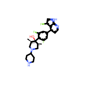 C[C@@H]1CN(C2CCNCC2)C[C@H](C)[C@@]1(O)c1c(F)cc(-c2ccnc3[nH]cc(F)c23)cc1F